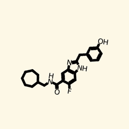 O=C(NCC1CCCCCC1)c1cc2nc(Cc3cccc(O)c3)[nH]c2cc1F